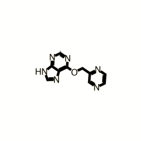 [c]1nc(OCc2cnccn2)c2nc[nH]c2n1